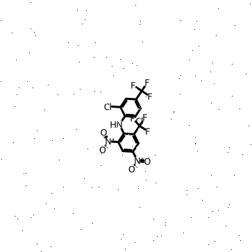 O=[N+]([O-])c1cc([N+](=O)[O-])c(Nc2c(Cl)cc(C(F)(F)F)cc2Cl)c(C(F)(F)F)c1